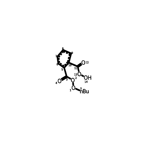 CCCCOOC(=O)c1ccccc1C(=O)OO